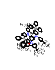 CC(C)(C)c1ccc(N2c3ccc([Si](c4ccccc4)(c4ccccc4)c4ccccc4)cc3B3c4cc(C(C)(C)C)ccc4N(c4cccc([Si](c5ccccc5)(c5ccccc5)c5ccccc5)c4)c4cc(-n5c6ccc(C(C)(C)C)cc6c6cc(C(C)(C)C)ccc65)cc2c43)cc1